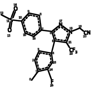 Cc1ccc(-c2c(-c3ccc(S(C)(=O)=O)cc3)nn(CC#N)c2C(F)(F)F)cc1F